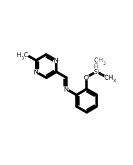 Cc1cnc(C=Nc2ccccc2O[SiH](C)C)cn1